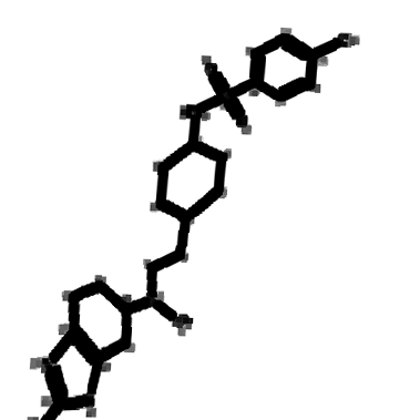 CCCN(CCC1CCC(NS(=O)(=O)c2ccc(Cl)cc2)CC1)C1CCc2nc(N)sc2C1